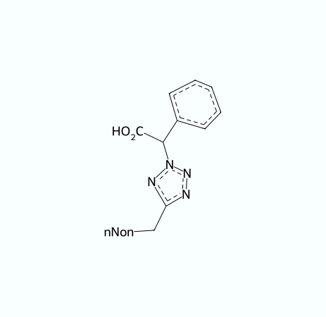 CCCCCCCCCCc1nnn(C(C(=O)O)c2ccccc2)n1